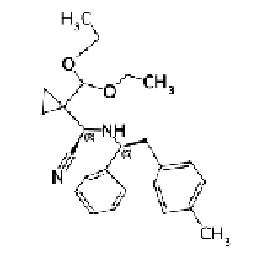 CCOC(OCC)C1([C@H](C#N)N[C@@H](Cc2ccc(C)cc2)c2ccccc2)CC1